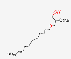 CCCCCCCCC=CCCCCCCCCOCC(CO)OC